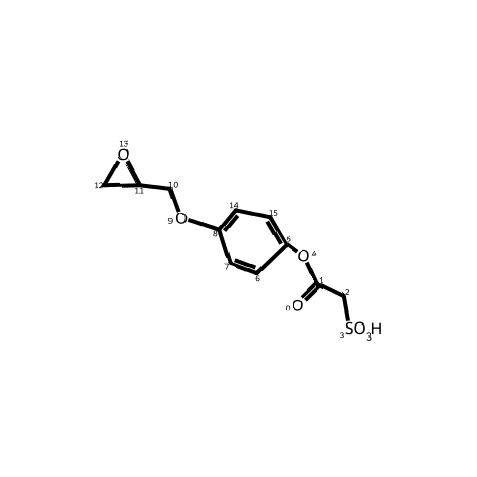 O=C(CS(=O)(=O)O)Oc1ccc(OCC2CO2)cc1